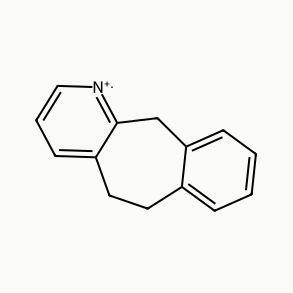 C1=C[N+]=C2Cc3ccccc3CCC2=C1